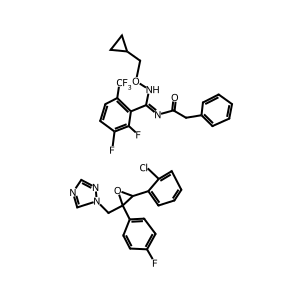 Fc1ccc(C2(Cn3cncn3)OC2c2ccccc2Cl)cc1.O=C(Cc1ccccc1)/N=C(\NOCC1CC1)c1c(C(F)(F)F)ccc(F)c1F